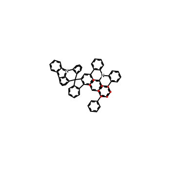 c1ccc(-c2ccc(-c3ccccc3N(c3ccccc3-c3ccc4c(c3)C3(c5ccccc5-4)c4ccccc4-n4c5ccccc5c5cccc3c54)c3cccc4ccccc34)cc2)cc1